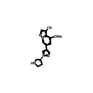 COc1cc(-c2cnn([C@H]3CCNC3)c2)cn2ncc(C#N)c12